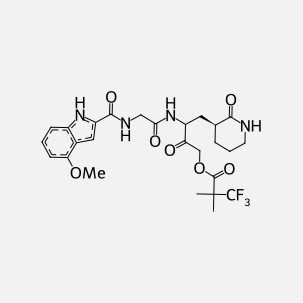 COc1cccc2[nH]c(C(=O)NCC(=O)NC(C[C@@H]3CCCNC3=O)C(=O)COC(=O)C(C)(C)C(F)(F)F)cc12